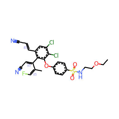 CCOCCNS(=O)(=O)c1ccc(Oc2c(Cl)c(Cl)cc(/C=C/C#N)c2C(=C/C#N)/C(C)=C\F)cc1